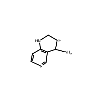 NC1NCNc2ccncc21